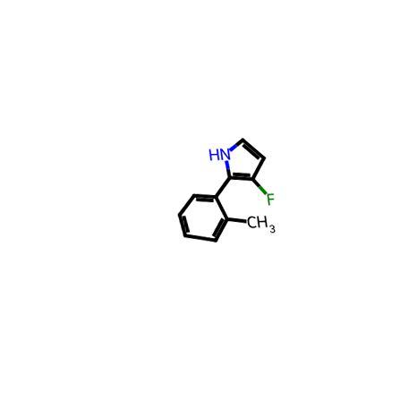 Cc1ccccc1-c1[nH]ccc1F